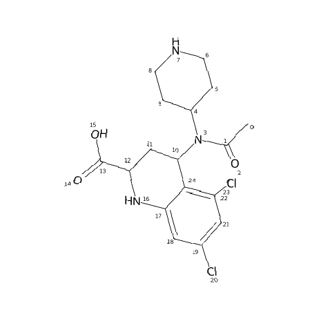 CC(=O)N(C1CCNCC1)C1CC(C(=O)O)Nc2cc(Cl)cc(Cl)c21